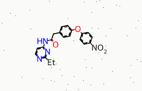 CCc1nccc(NC(=O)Cc2ccc(Oc3ccc([N+](=O)[O-])cc3)cc2)n1